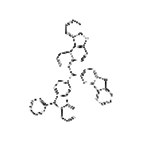 c1ccc(-n2c3ccccc3c3cc(N(c4ccc5oc6ccccc6c5c4)c4cccc5c4ccc4oc6ccccc6c45)ccc32)cc1